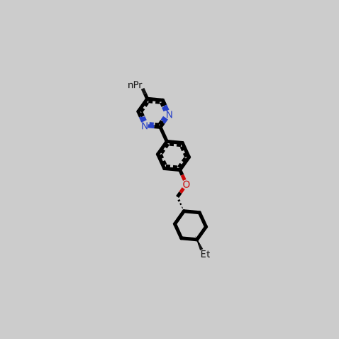 CCCc1cnc(-c2ccc(OC[C@H]3CC[C@H](CC)CC3)cc2)nc1